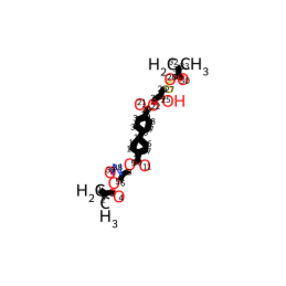 C=C(C)C(=O)OCC(COC(=O)c1ccc(-c2ccc(C(=O)OCC(O)CSOC(=O)C(=C)C)cc2)cc1)N=O